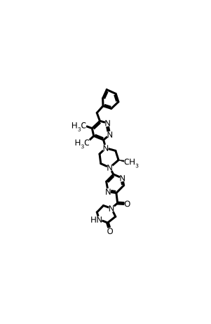 Cc1c(Cc2ccccc2)nnc(N2CCN(c3cnc(C(=O)N4CCNC(=O)C4)cn3)[C@H](C)C2)c1C